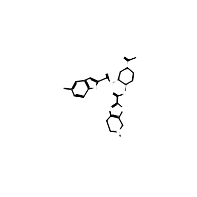 CN1CCc2nc(C(=O)N[C@@H]3CC[C@H](C(=O)[O-])C[C@@H]3NC(=O)c3cc4cc(Cl)ccc4[nH]3)sc2C1.[Li+]